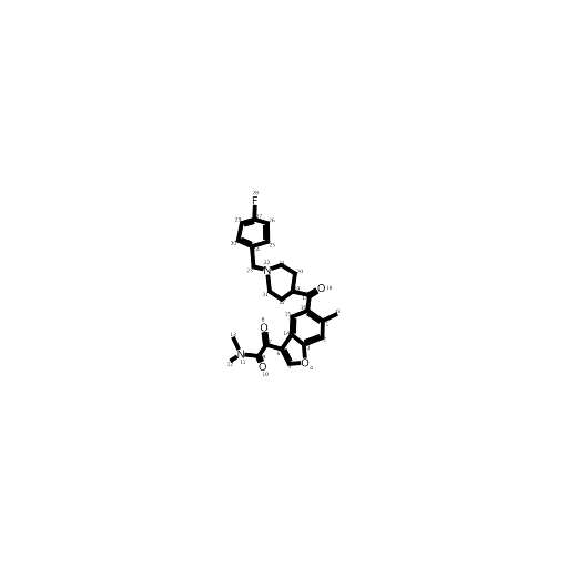 Cc1cc2occ(C(=O)C(=O)N(C)C)c2cc1C(=O)C1CCN(Cc2ccc(F)cc2)CC1